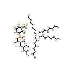 CCCCCCCC[B-](CCCCCCCC)(CCCCCCCC)CCCCCCCC.CCCC[PH+](CC(C)CCC(CC)CCC)c1cc(F)c(F)c(C(F)(F)F)c1F